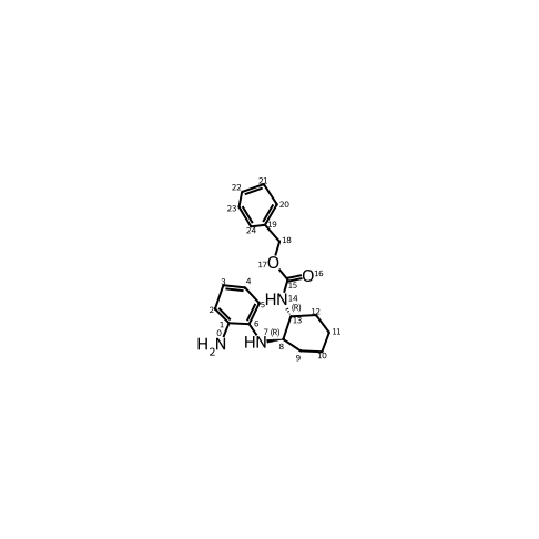 Nc1ccccc1N[C@@H]1CCCC[C@H]1NC(=O)OCc1ccccc1